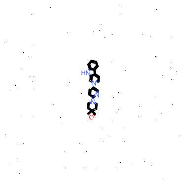 c1ccc2c(c1)[nH]c1c[n+](-c3ccc(N4CCC5(CC4)COC5)nc3)ccc12